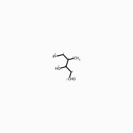 CC(C)CC(C)C(O)CC=O